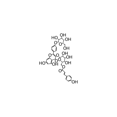 O=C(/C=C/c1ccc(O)cc1)OC[C@H]1O[C@@H](Oc2c(-c3ccc(O[C@@H]4O[C@H](CO)[C@@H](O)C(O)C4O)cc3)oc3cc(O)cc(O)c3c2=O)C(O)C(O)[C@@H]1O